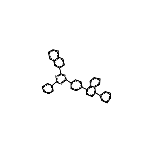 c1ccc(-c2nc(-c3ccc(-c4ccc(-c5ccccc5)c5ccccc45)cc3)nc(-c3ccc4ncccc4c3)n2)cc1